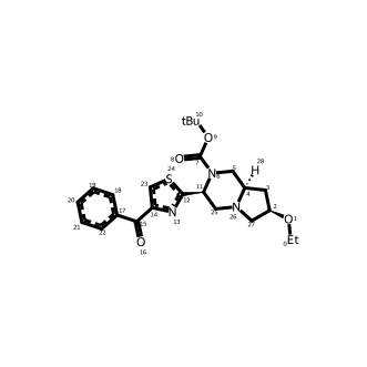 CCO[C@@H]1C[C@@H]2CN(C(=O)OC(C)(C)C)[C@H](c3nc(C(=O)c4ccccc4)cs3)CN2C1